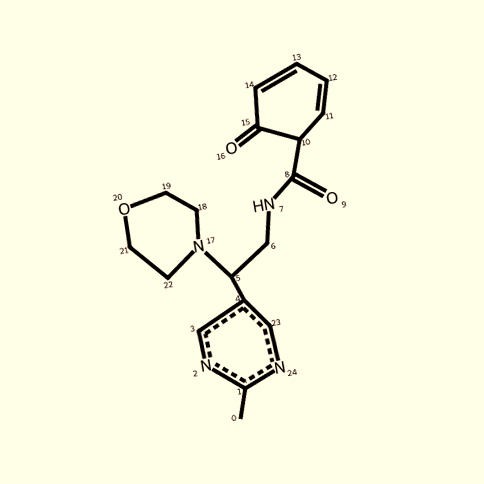 Cc1ncc(C(CNC(=O)C2C=CC=CC2=O)N2CCOCC2)cn1